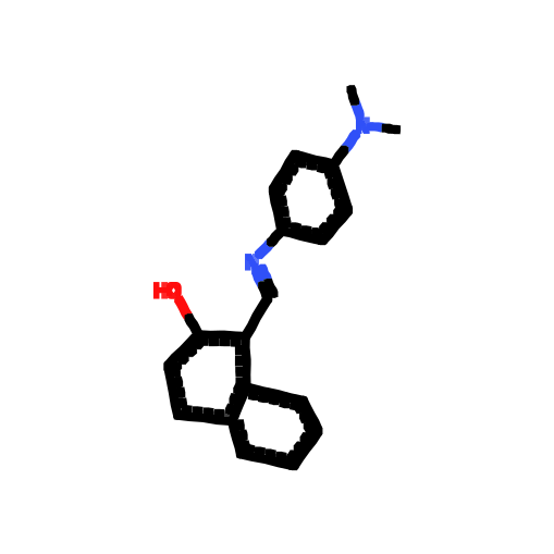 CN(C)c1ccc(N=Cc2c(O)ccc3ccccc23)cc1